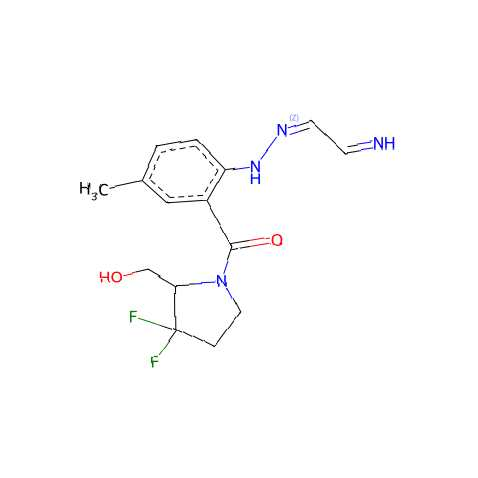 Cc1ccc(N/N=C\C=N)c(C(=O)N2CCC(F)(F)C2CO)c1